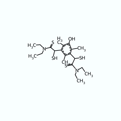 CCN(CC)C(=S)C(S)c1c(C)c(O)c(C)c(C(S)C(=S)N(CC)CC)c1C